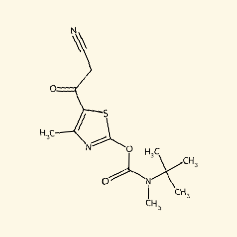 Cc1nc(OC(=O)N(C)C(C)(C)C)sc1C(=O)CC#N